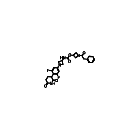 O=C1CCC(c2c(F)cc(N3CC(NC(=O)OC4CN(C(=O)Cc5ccccc5)C4)C3)cc2F)C(=O)N1